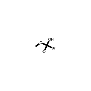 COC([O])(O)Br